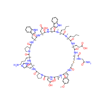 CCCC[C@H]1C(=O)N(C)[C@@H](CCCC)C(=O)N[C@@H](CCC(=O)O)C(=O)N[C@H](C(=O)NCC(N)=O)CSCC(=O)N[C@@H](Cc2ccc(OC)cc2)C(=O)N(C)[C@@H](C)C(=O)N[C@@H](CC(=O)O)C(=O)N2CCCC2C(=O)N[C@@H](Cc2cnc[nH]2)C(=O)N[C@@H](CCCCN)C(=O)N2CCCC2C(=O)N[C@@H](Cc2c[nH]c3ccccc23)C(=O)N[C@@H](CC(=O)O)C(=O)N[C@@H](Cc2c[nH]c3ccccc23)C(=O)N1C